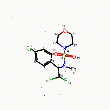 CCN([C@H](c1ccc(Cl)cc1)C(F)F)S(=O)(=O)N1CCOCC1